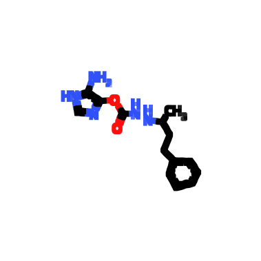 CC(CCc1ccccc1)NNC(=O)Oc1nc[nH]c1N